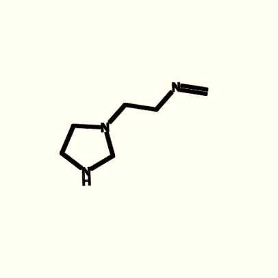 C=NCCN1CCNC1